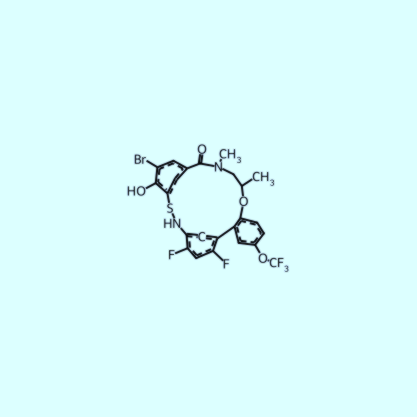 CC1CN(C)C(=O)c2cc(Br)c(O)c(c2)SNc2cc(c(F)cc2F)-c2cc(OC(F)(F)F)ccc2O1